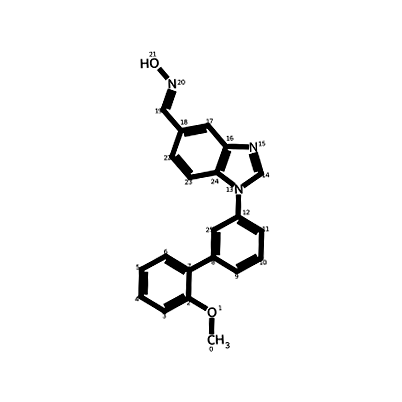 COc1ccccc1-c1cccc(-n2cnc3cc(C=NO)ccc32)c1